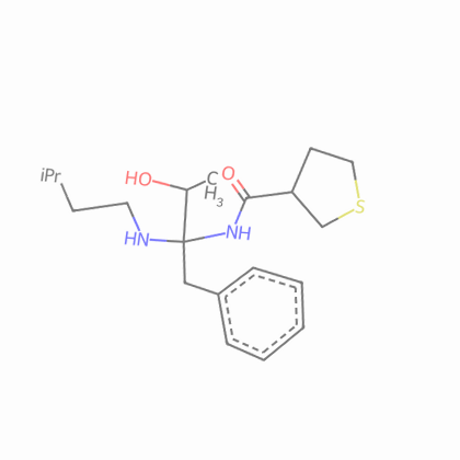 CC(C)CCNC(Cc1ccccc1)(NC(=O)C1CCSC1)C(C)O